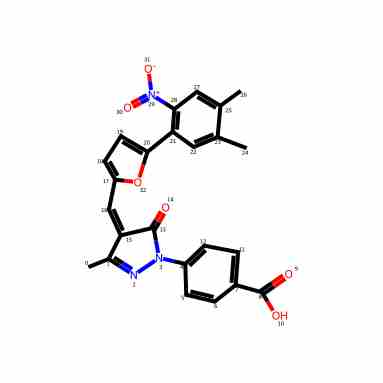 CC1=NN(c2ccc(C(=O)O)cc2)C(=O)/C1=C\c1ccc(-c2cc(C)c(C)cc2[N+](=O)[O-])o1